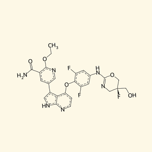 CCOc1ncc(-c2c[nH]c3nccc(Oc4c(F)cc(NC5=NC[C@@](F)(CO)CO5)cc4F)c23)cc1C(N)=O